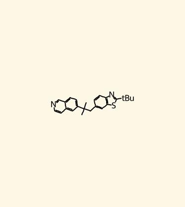 CC(C)(C)c1nc2ccc(CC(C)(C)c3ccc4cnccc4c3)cc2s1